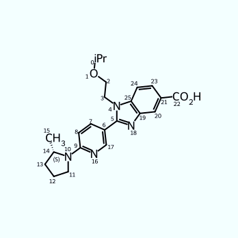 CC(C)OCCn1c(-c2ccc(N3CCC[C@@H]3C)nc2)nc2cc(C(=O)O)ccc21